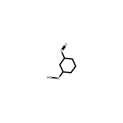 O=[S+]C1CCCC(SO)C1